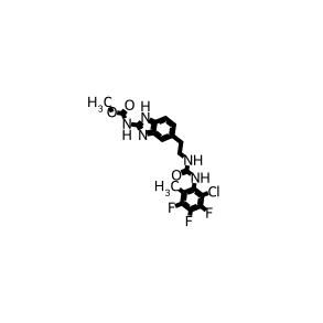 COC(=O)Nc1nc2cc(CCNC(=O)Nc3c(C)c(F)c(F)c(F)c3Cl)ccc2[nH]1